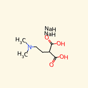 CN(C)CCC(C(=O)O)C(=O)O.[NaH].[NaH]